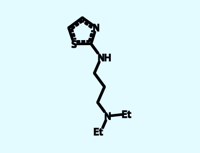 CCN(CC)CCCNc1nccs1